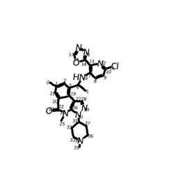 Cc1cc(C(C)Nc2ccc(Cl)nc2-c2nnco2)c2c(c1)c(=O)n(C)c1c2cnn1C1CCN(C)CC1